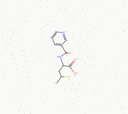 CC(S)CC(NC(=O)c1cccnc1)C(=O)O